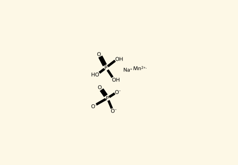 O=P(O)(O)O.O=P([O-])([O-])[O-].[Mn+2].[Na+]